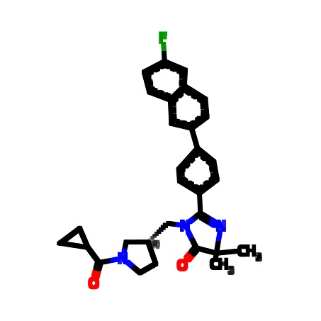 CC1(C)N=C(c2ccc(-c3ccc4cc(F)ccc4c3)cc2)N(C[C@@H]2CCN(C(=O)C3CC3)C2)C1=O